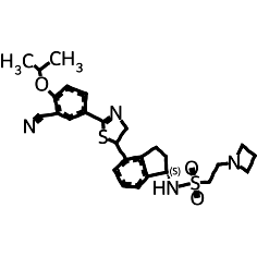 CC(C)Oc1ccc(C2=NCC(c3cccc4c3CC[C@@H]4NS(=O)(=O)CCN3CCC3)S2)cc1C#N